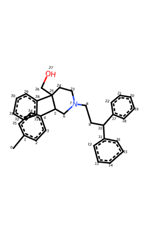 Cc1ccc(C2CN(CCC(c3ccccc3)c3ccccc3)CCC2(CO)c2ccccc2)cc1